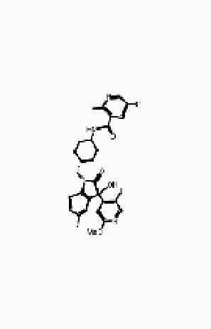 COc1cc(C2(O)C(=O)N(C[C@H]3CC[C@H](NC(=O)c4cc(Cl)cnc4C)CC3)c3ccc(F)cc32)c(F)cn1